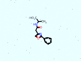 CC(NC(=O)Cc1coc(-c2ccccc2)n1)C(=O)O